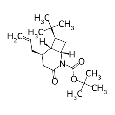 C=CC[C@@H]1CC(=O)N(C(=O)OC(C)(C)C)[C@H]2C[C@H](C(C)(C)C)[C@@H]12